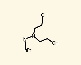 CCC[N]N(CCO)CCO